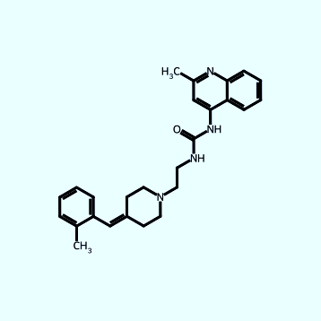 Cc1cc(NC(=O)NCCN2CCC(=Cc3ccccc3C)CC2)c2ccccc2n1